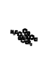 Cc1ccc(CN2C(=O)CCC(C)C2c2nc3cc(Cl)ccc3c(=O)n2Cc2ccccc2)cc1